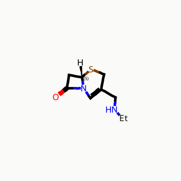 CCNCC1=CN2C(=O)C[C@@H]2SC1